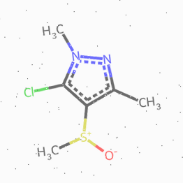 Cc1nn(C)c(Cl)c1[S+](C)[O-]